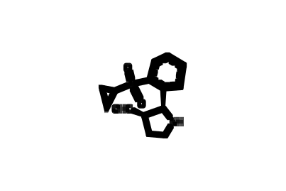 O=C[C@@H]1CCN[C@@H]1c1ccccc1S(=O)(=O)C1CC1